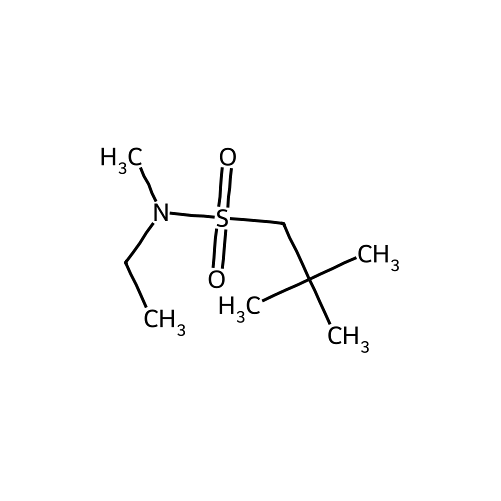 CCN(C)S(=O)(=O)CC(C)(C)C